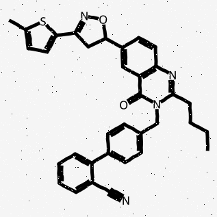 CCCCc1nc2ccc(C3CC(c4ccc(C)s4)=NO3)cc2c(=O)n1Cc1ccc(-c2ccccc2C#N)cc1